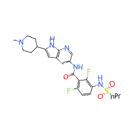 CCCS(=O)(=O)Nc1ccc(F)c(C(=O)Nc2cnc3[nH]c(C4CCN(C)CC4)cc3c2)c1F